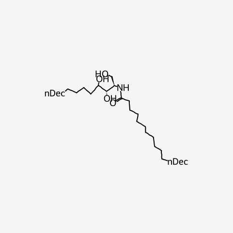 CCCCCCCCCCCCCCCCCCCCC(=O)N[C@H](CO)[C@H](O)C(O)CCCCCCCCCCCCCC